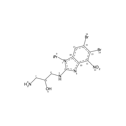 CC(C)n1c(NCC(O)CN)nc2c([N+](=O)[O-])c(Br)c(Br)cc21